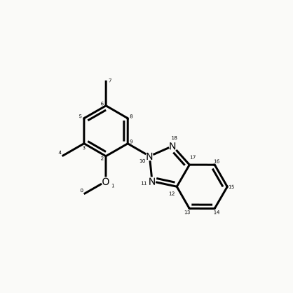 COc1c(C)cc(C)cc1-n1nc2ccccc2n1